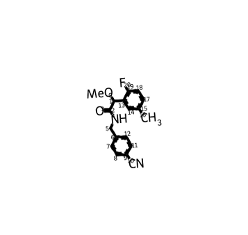 COC(C(=O)NCc1ccc(C#N)cc1)c1cc(C)ccc1F